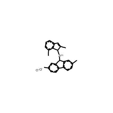 CC1=Cc2cccc(C)c2[CH]1[Zr+2][CH]1c2cc(C)ccc2-c2ccc(C)cc21.[Cl-].[Cl-]